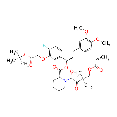 C=CC(=O)OCC(C)(C)C(=O)C(=O)N1CCCC[C@H]1C(=O)O[C@H](CCc1ccc(OC)c(OC)c1)c1ccc(F)c(OCC(=O)OC(C)(C)C)c1